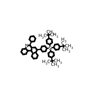 CC(C)(C)c1ccc([Si](c2ccc(-c3cc4c(-c5ccccc5)nc5ccccc5c4c4ccccc34)cc2)(c2ccc(C(C)(C)C)cc2)c2ccc(C(C)(C)C)cc2)cc1